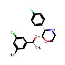 Cc1cc(Cl)cc([C@@H](C)O[C@H]2OCCN[C@H]2c2ccc(F)cc2)c1